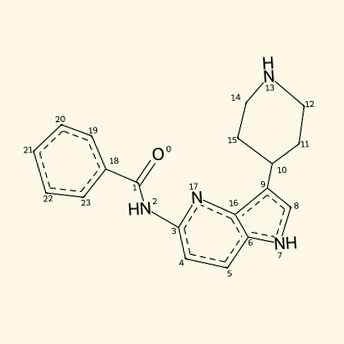 O=C(Nc1ccc2[nH]cc(C3CCNCC3)c2n1)c1ccccc1